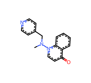 CN(Cc1ccncc1)n1ccc(=O)c2ccccc21